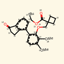 COc1ccc(-c2cccc3c2CCC3=O)c(OCC2(C(=O)OCC(C)(C)C)CCC2)c1OC